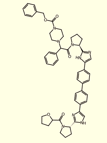 O=C(OCc1ccccc1)N1CCN(C(C(=O)N2CCC[C@H]2c2ncc(-c3ccc(-c4ccc(-c5c[nH]c([C@@H]6CCCN6C(=O)C6CCCO6)n5)cc4)cc3)[nH]2)c2ccccc2)CC1